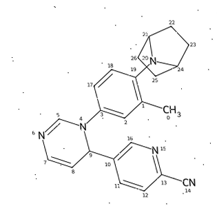 Cc1cc(N2C=NC=CC2c2ccc(C#N)nc2)ccc1N1C2CCC1CC2